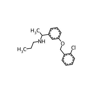 CCCNC(C)c1cccc(OCc2ccccc2Cl)c1